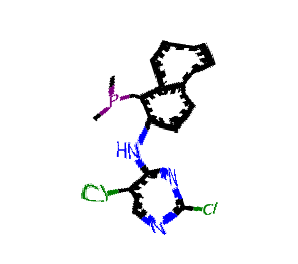 CP(C)c1c(Nc2nc(Cl)ncc2Cl)ccc2ccccc12